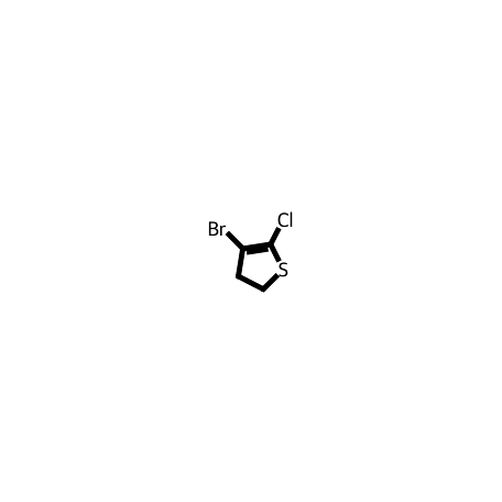 ClC1=C(Br)CCS1